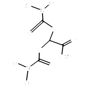 CCN(CC)C(=S)SC(SC(=S)N(CC)CC)C(=O)OC